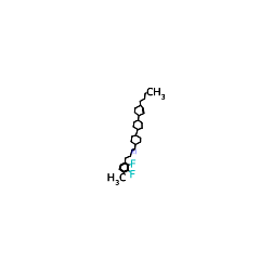 CCCCC1C=CC(C2CCC(C3CCC(/C=C/CCc4ccc(C)c(F)c4F)CC3)CC2)CC1